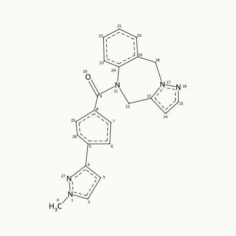 Cn1ccc(-c2ccc(C(=O)N3Cc4ccnn4Cc4ccccc43)cc2)n1